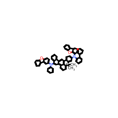 C[Si]1(C)c2cc(N(c3ccccc3-c3ccccc3)c3cccc4c3oc3ccccc34)ccc2-c2cc3c4ccccc4c(N(c4ccccc4)c4ccc5oc6ccccc6c5c4)cc3c3cccc1c23